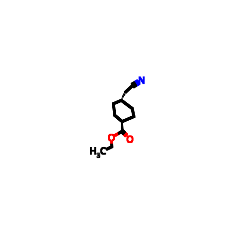 CCOC(=O)[C@H]1CC[C@H](CC#N)CC1